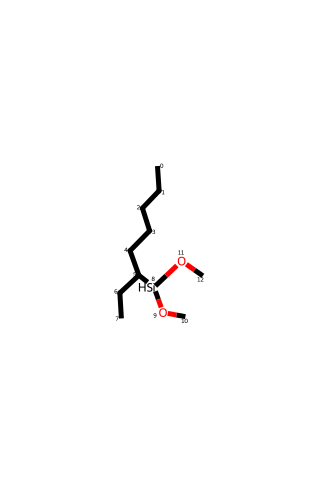 CCCCCC(CC)[SiH](OC)OC